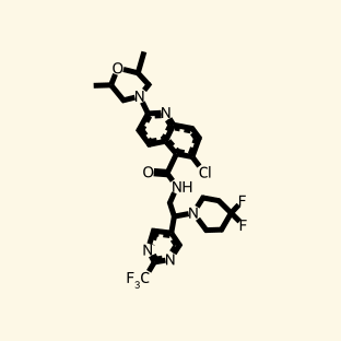 CC1CN(c2ccc3c(C(=O)NCC(c4cnc(C(F)(F)F)nc4)N4CCC(F)(F)CC4)c(Cl)ccc3n2)CC(C)O1